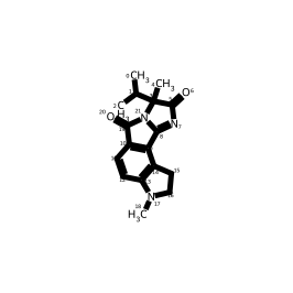 CC(C)C1(C)C(=O)N=C2c3c(ccc4c3CCN4C)C(=O)N21